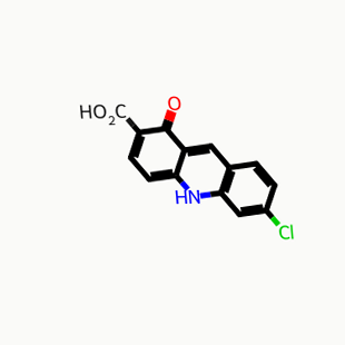 O=C(O)c1ccc2[nH]c3cc(Cl)ccc3cc-2c1=O